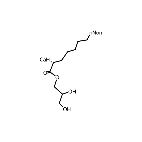 CCCCCCCCCCCCCCCC(=O)OCC(O)CO.[CaH2]